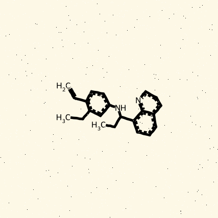 C=Cc1ccc(NC(CC)c2cccc3cccnc23)cc1CC